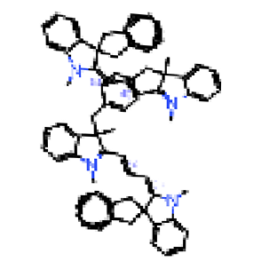 CN1/C(=C/C=C/C2=[N+](C)c3ccccc3C2(C)Cc2ccc(CC3(C)C(/C=C/C=C4/N(C)c5ccccc5C4(Cc4ccccc4)Cc4ccccc4)=[N+](C)c4ccccc43)cc2)C(Cc2ccccc2)(Cc2ccccc2)c2ccccc21